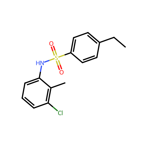 CCc1ccc(S(=O)(=O)Nc2cccc(Cl)c2C)cc1